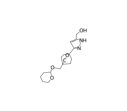 OCc1cc(C23CCC(COC4CCCCO4)(CC2)CO3)n[nH]1